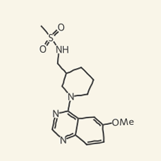 COc1ccc2ncnc(N3CCCC(CNS(C)(=O)=O)C3)c2c1